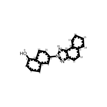 Oc1cccc2cc(-n3nc4ccc5ccccc5c4n3)ccc12